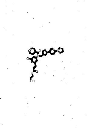 O=C(/C=C/c1cc(Cl)cc(N(CC2CCC(c3ccc(N4CCCC4)nc3)C2)C(=O)C2CCOCC2)c1)OCCO